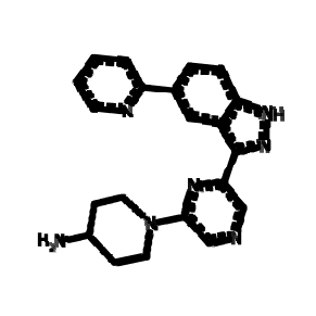 NC1CCN(c2cncc(-c3n[nH]c4ccc(-c5ccccn5)cc34)n2)CC1